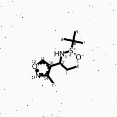 CCC(N[S@@+]([O-])C(C)(C)C)c1conc1C